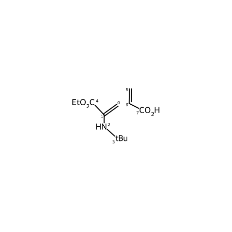 C=C(NC(C)(C)C)C(=O)OCC.C=CC(=O)O